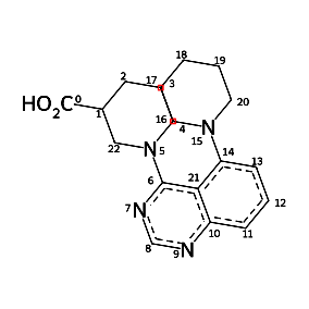 O=C(O)C1CCCN(c2ncnc3cccc(N4CCCCC4)c23)C1